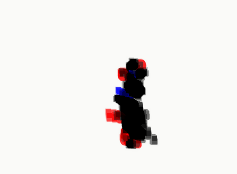 C[C@@]12Cc3cnn(-c4cccc(C(=O)N5CCOCC5)c4)c3C=C1CC[C@H]1[C@H]2[C@H](O)C[C@]2(C)[C@@H]1CC[C@]21OCOC12COCO2